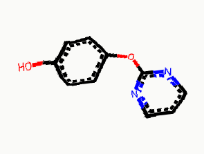 Oc1ccc(Oc2n[c]ccn2)cc1